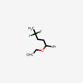 CCCC(CCC(C)(F)F)OCC=O